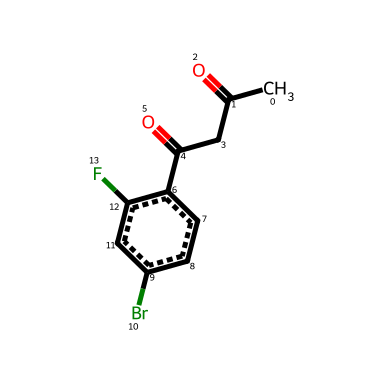 CC(=O)CC(=O)c1ccc(Br)cc1F